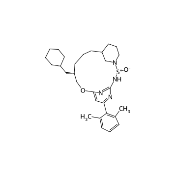 Cc1cccc(C)c1-c1cc2nc(n1)N[S+]([O-])N1CCCC(CCC[C@H](CC3CCCCC3)CO2)C1